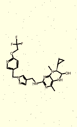 Cc1nc(NCc2cnn(Cc3ccc(OCC(F)(F)F)nc3)c2)nc2c1NC(O)[C@H](C1CC1)N2C